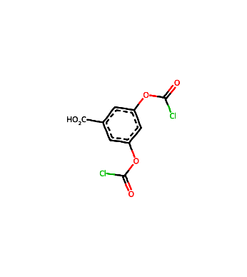 O=C(Cl)Oc1cc(OC(=O)Cl)cc(C(=O)O)c1